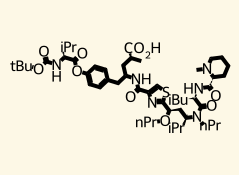 CCCO[C@H](C[C@H](C(C)C)N(CCC)C(=O)[C@@H](NC(=O)[C@H]1CCCCN1C)[C@@H](C)CC)c1nc(C(=O)NC(Cc2ccc(OC(=O)[C@H](NC(=O)OC(C)(C)C)C(C)C)cc2)C[C@H](C)C(=O)O)cs1